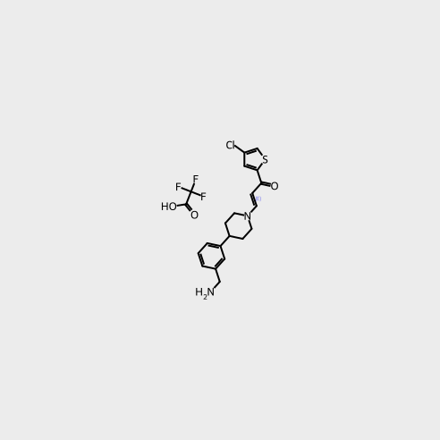 NCc1cccc(C2CCN(/C=C/C(=O)c3cc(Cl)cs3)CC2)c1.O=C(O)C(F)(F)F